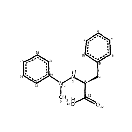 CN(N[C@@H](Cc1ccccc1)C(=O)O)c1ccccc1